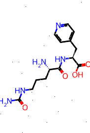 NC(=O)NCCC[C@H](N)C(=O)N[C@@H](Cc1ccncc1)C(=O)O